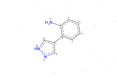 Nc1ccccc1-c1cn[nH]c1